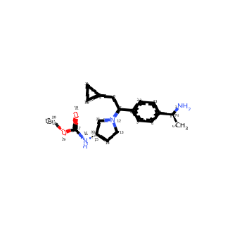 C[C@H](N)c1ccc(C(CC2CC2)N2CC[C@H](NC(=O)OC(C)(C)C)C2)cc1